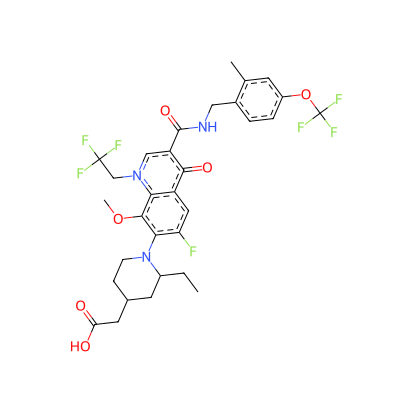 CCC1CC(CC(=O)O)CCN1c1c(F)cc2c(=O)c(C(=O)NCc3ccc(OC(F)(F)F)cc3C)cn(CC(F)(F)F)c2c1OC